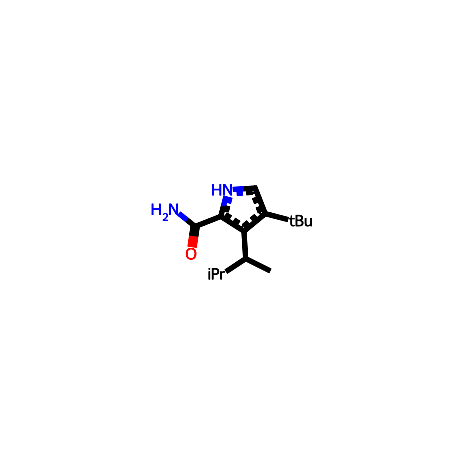 CC(C)C(C)c1c(C(C)(C)C)c[nH]c1C(N)=O